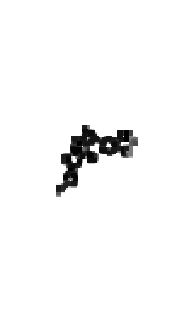 O=C(Cn1nnc2scc(-c3ccc(Cl)c(C(F)(F)F)c3)c2c1=O)N1CCC(F)C1